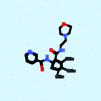 COc1cc(NC(=O)c2cccnc2)c(C(=O)NCCN2CCOCC2)c(OC)c1OC